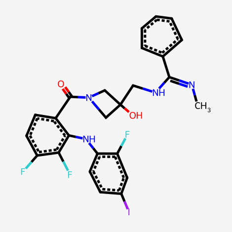 C/N=C(\NCC1(O)CN(C(=O)c2ccc(F)c(F)c2Nc2ccc(I)cc2F)C1)c1ccccc1